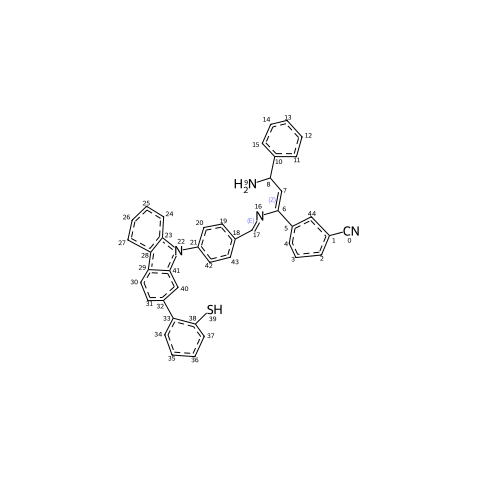 N#Cc1cccc(C(=C/C(N)c2ccccc2)/N=C/c2ccc(-n3c4ccccc4c4ccc(-c5ccccc5S)cc43)cc2)c1